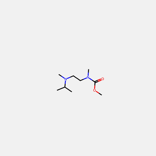 COC(=O)N(C)CCN(C)C(C)C